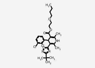 CCCCOCCOC(=O)C1=C(C)NC(C)=C(c2nc(C(C)(C)C)no2)C1c1cccc(Cl)c1Cl